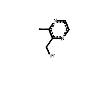 Cc1nccnc1CC(C)C